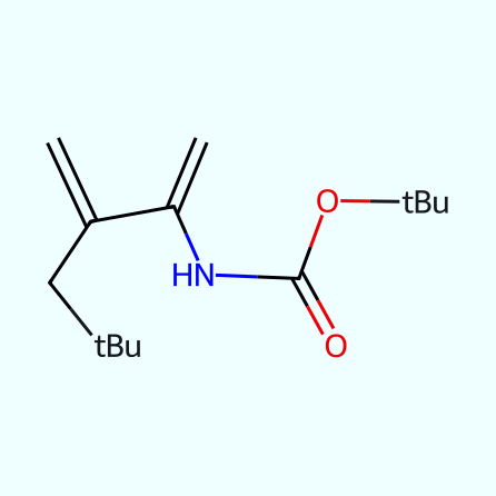 C=C(CC(C)(C)C)C(=C)NC(=O)OC(C)(C)C